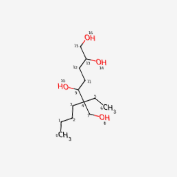 CCCCC(CC)(CO)C(O)CCC(O)CO